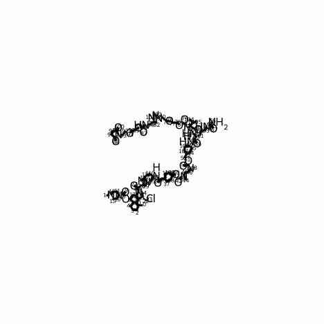 Cc1cccc2c(OC(=O)N3CCN(C)CC3)cc3c(c12)[C@H](CCl)CN3C(=O)c1cn2cc(NC(=O)c3ccc(OC(=O)N(C)CCN(C)C(=O)OCc4ccc(NC(=O)[C@H](CCCNC(N)=O)NC(=O)[C@@H](NC(=O)OCCOCCn5cc(CNC(=O)OCCOCCN6C(=O)C=CC6=O)nn5)C(C)C)cc4)cc3)ccc2n1